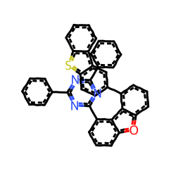 c1ccc(-c2nc(-c3ccccc3)nc(-c3cccc4oc5cccc(-c6ccc7sc8ccccc8c7c6)c5c34)n2)cc1